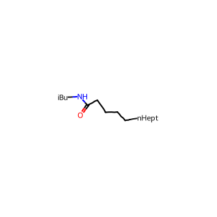 CCCCCCCCCCCC(=O)NC(C)CC